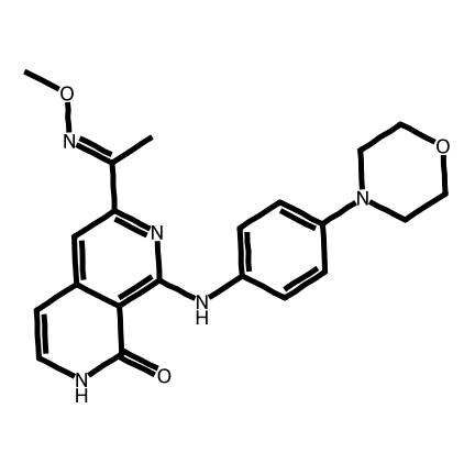 CON=C(C)c1cc2cc[nH]c(=O)c2c(Nc2ccc(N3CCOCC3)cc2)n1